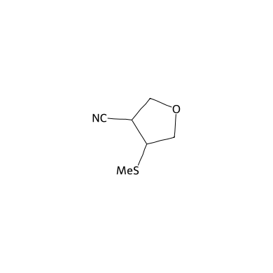 CSC1COCC1C#N